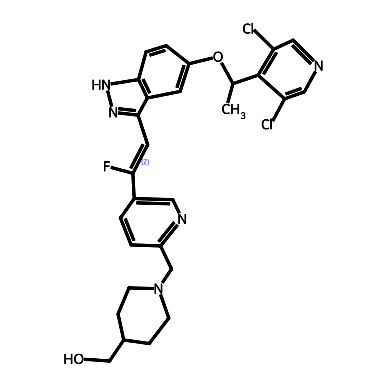 CC(Oc1ccc2[nH]nc(/C=C(\F)c3ccc(CN4CCC(CO)CC4)nc3)c2c1)c1c(Cl)cncc1Cl